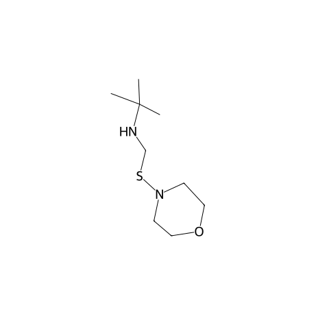 CC(C)(C)NCSN1CCOCC1